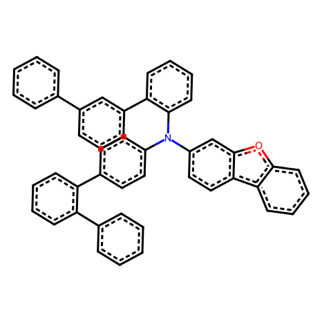 c1ccc(-c2cccc(-c3ccccc3N(c3ccc(-c4ccccc4-c4ccccc4)cc3)c3ccc4c(c3)oc3ccccc34)c2)cc1